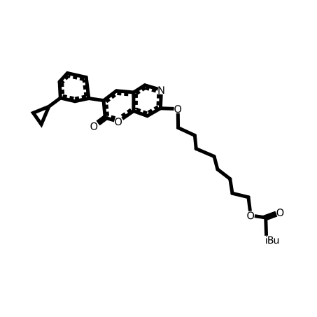 CCC(C)C(=O)OCCCCCCCCOc1cc2oc(=O)c(-c3cccc(C4CC4)c3)cc2cn1